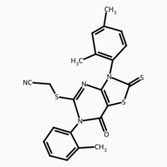 Cc1ccc(-n2c(=S)sc3c(=O)n(-c4ccccc4C)c(SCC#N)nc32)c(C)c1